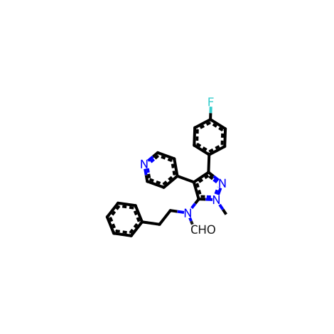 Cn1nc(-c2ccc(F)cc2)c(-c2ccncc2)c1N(C=O)CCc1ccccc1